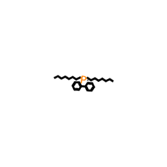 CCCCCCCC[P]CCCCCCCC.c1ccc(-c2ccccc2)cc1